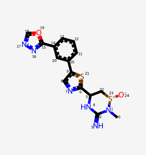 CN1C(=N)NC(c2ncc(-c3cccc(-c4nnco4)c3)s2)C[S+]1[O-]